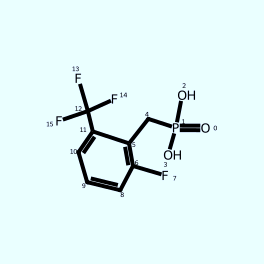 O=P(O)(O)Cc1c(F)cccc1C(F)(F)F